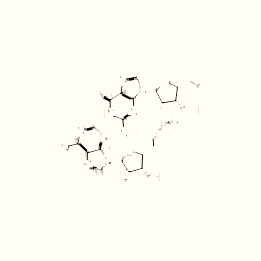 Nc1nc2c(ncn2[C@@H]2O[C@H](CO)[C@@H](O)[C@@H]2OP(=O)(S)OC[C@H]2O[C@@H](n3nnc4c(N)ncnc43)[C@@H](F)[C@@H]2O)c(=O)[nH]1